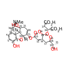 CC[C@]12c3c4ccc(O)c3O[C@H]1C(OC(=O)C[C@H](CC(=O)[C@H](C)O)C(=O)O[C@@H](CC(=O)O)C(=O)O)=CC[C@@]2(O)[C@H](NC)C4